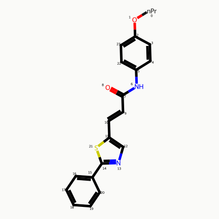 CCCOc1ccc(NC(=O)/C=C/c2cnc(-c3ccccc3)s2)cc1